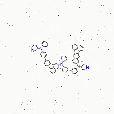 c1ccc(N(c2ccc(-c3ccc4c(c3)-c3cc5c(c6cccc-4c36)c3ccc(-c4cccc(N(c6ccncc6)c6ccc7cc8c(cc7c6)-c6cccc7cccc-8c67)c4)cc3n5-c3ccccc3)cc2)c2cccnc2)cc1